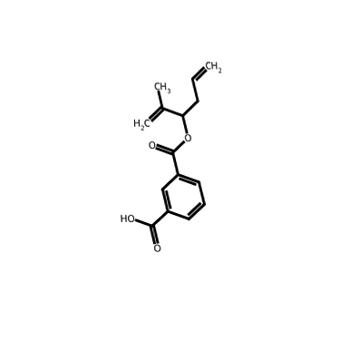 C=CCC(OC(=O)c1cccc(C(=O)O)c1)C(=C)C